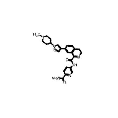 CNC(=O)c1ccc(NC(=O)C2=NCCc3ccc(-c4cnn(C5CCN(C)CC5)c4)cc32)cn1